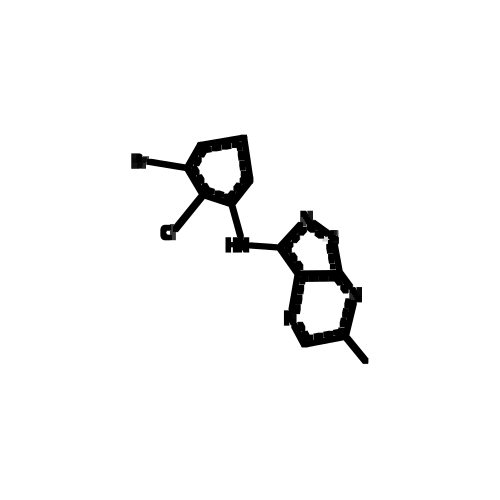 Cc1cnc2c(Nc3cccc(Br)c3Cl)nsc2n1